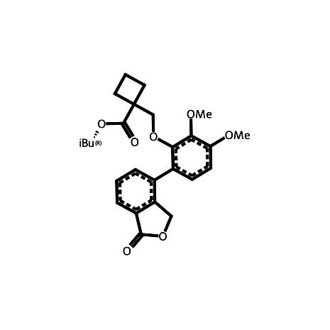 CC[C@@H](C)OC(=O)C1(COc2c(-c3cccc4c3COC4=O)ccc(OC)c2OC)CCC1